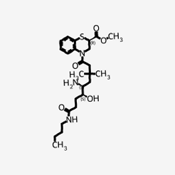 CCCCNC(=O)CC[C@H](O)[C@@H](N)CC(C)(C)CC(=O)N1C[C@H](C(=O)OC)Sc2ccccc21